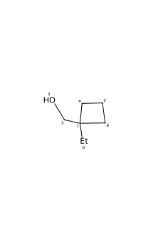 CCC1(CO)CCC1